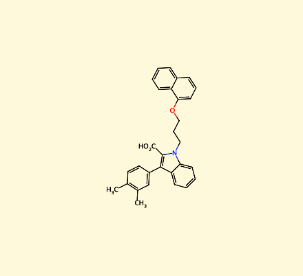 Cc1ccc(-c2c(C(=O)O)n(CCCOc3cccc4ccccc34)c3ccccc23)cc1C